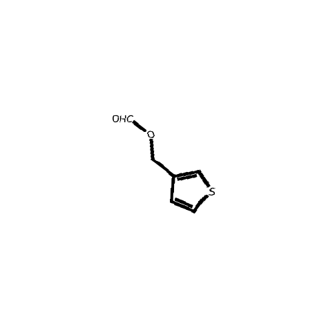 O=COCc1ccsc1